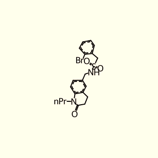 CCCN1C(=O)CCc2cc(CNS(=O)(=O)Cc3ccccc3Br)ccc21